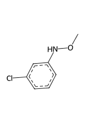 CONc1cccc(Cl)c1